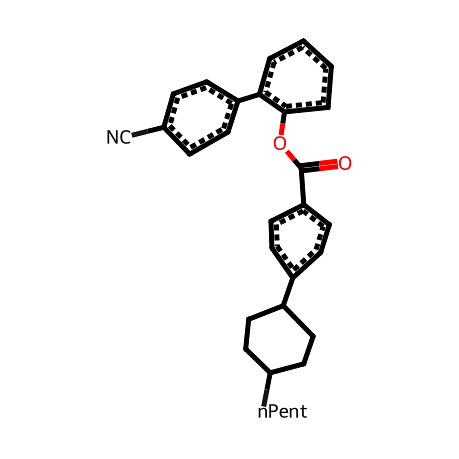 CCCCCC1CCC(c2ccc(C(=O)Oc3ccccc3-c3ccc(C#N)cc3)cc2)CC1